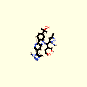 Cc1cc(C(C2CCOOC2)n2c3cc(C(C)(C)O)ccc3c3ncc(-c4c(C)nnn4C)cc32)n(C)n1